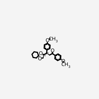 COc1ccc(C(=O)C[C@H](c2ccc(OC)cc2)[C@H]2COC3(CCCCC3)O2)cc1